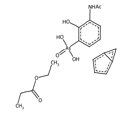 CC(=O)Nc1cccc([As](=O)(O)O)c1O.CCOC(=O)CC.c1cc2cc-2c1